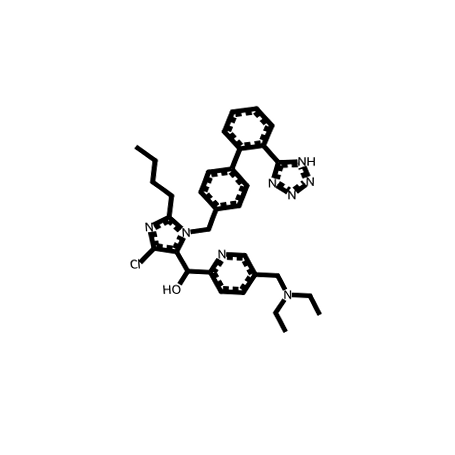 CCCCc1nc(Cl)c(C(O)c2ccc(CN(CC)CC)cn2)n1Cc1ccc(-c2ccccc2-c2nnn[nH]2)cc1